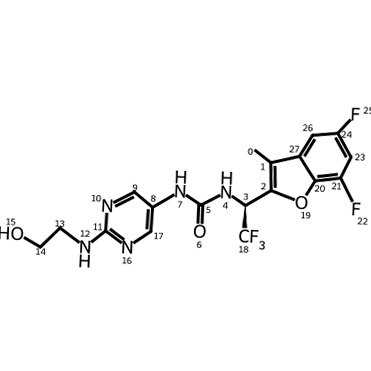 Cc1c([C@H](NC(=O)Nc2cnc(NCCO)nc2)C(F)(F)F)oc2c(F)cc(F)cc12